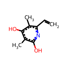 C=Cc1nc(O)c(C)c(O)c1C